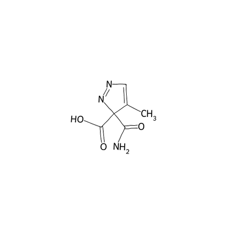 CC1=CN=NC1(C(N)=O)C(=O)O